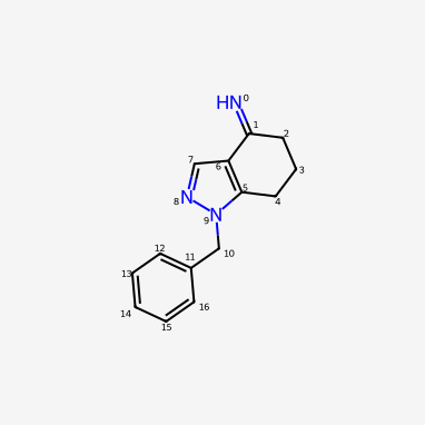 N=C1CCCc2c1cnn2Cc1ccccc1